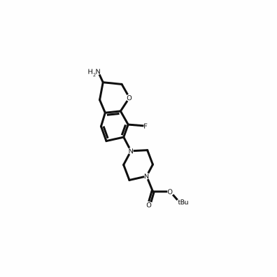 CC(C)(C)OC(=O)N1CCN(c2ccc3c(c2F)OCC(N)C3)CC1